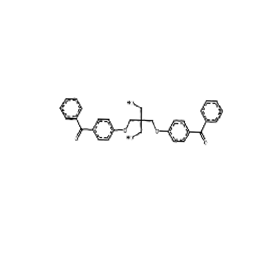 O=C(c1ccccc1)c1ccc(OCC(CO)(CO)COc2ccc(C(=O)c3ccccc3)cc2)cc1